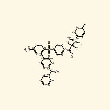 Cc1ccc(S(=O)(=O)C(C)(C)C(=O)c2ccc(S(=O)(=O)c3ccc(N)cc3-c3ccc(C(=O)c4ccccc4)cc3)cc2)cc1